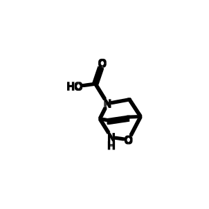 O=C(O)N1CC2C=CC1NO2